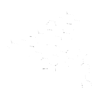 C/C=C\C(=C/C)[C@H](O)[C@@H](C)NC(=O)[C@H](C)[C@@H](OC)[C@@H]1CCCN1C(=O)C[C@@H](OC)[C@H]([C@@H](C)CC)N(C)C(=O)C(NC(=O)C(C(C)C)N(C)C(=O)OCc1ccc(NC(=O)[C@H](CCCNC(N)=O)NC(=O)C(NC(=O)C(CN)N2C(=O)CCC2=O)C(C)C)cc1)C(C)C